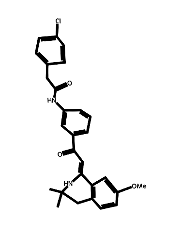 COc1ccc2c(c1)/C(=C/C(=O)c1cccc(NC(=O)Cc3ccc(Cl)cc3)c1)NC(C)(C)C2